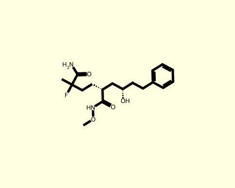 CONC(=O)[C@H](CCC(C)(F)C(N)=O)C[C@@H](O)[CH]Cc1ccccc1